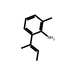 CC=C(C)c1cccc(C)c1N